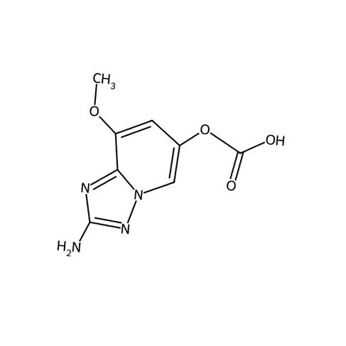 COc1cc(OC(=O)O)cn2nc(N)nc12